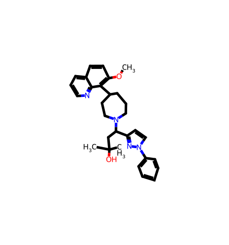 COc1ccc2cccnc2c1C1CCCN(C(CC(C)(C)O)c2ccn(-c3ccccc3)n2)CC1